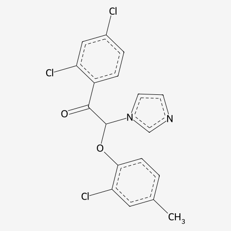 Cc1ccc(OC(C(=O)c2ccc(Cl)cc2Cl)n2ccnc2)c(Cl)c1